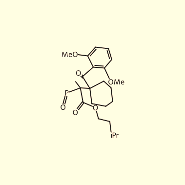 COc1cccc(OC)c1C(=O)C1(C(C)(P=O)C(=O)OCCC(C)C)CCCCC1